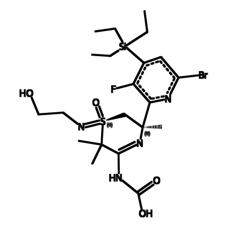 CC[Si](CC)(CC)c1cc(Br)nc([C@]2(C)C[S@](=O)(=NCCO)C(C)(C)C(NC(=O)O)=N2)c1F